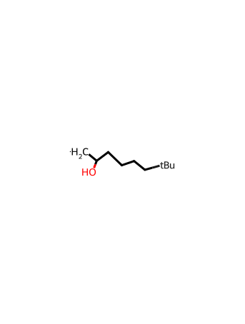 [CH2]C(O)CCCCC(C)(C)C